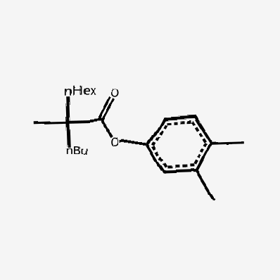 CCCCCCC(C)(CCCC)C(=O)Oc1ccc(C)c(C)c1